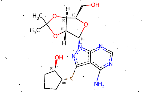 CC1(C)O[C@@H]2[C@H](O1)[C@@H](CO)O[C@H]2n1nc(S[C@@H]2CCC[C@H]2O)c2c(N)ncnc21